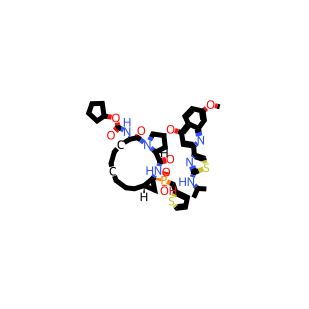 COc1ccc2c(O[C@@H]3C[C@H]4C(=O)N[C@]5(P(=O)(O)Cc6cccs6)C[C@H]5CCCCCCC[C@H](NC(=O)OC5CCCC5)C(=O)N4C3)cc(-c3csc(NC(C)C)n3)nc2c1